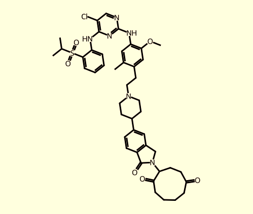 COc1cc(CCN2CCC(c3ccc4c(c3)CN(C3CCC(=O)CCCCC3=O)C4=O)CC2)c(C)cc1Nc1ncc(Cl)c(Nc2ccccc2S(=O)(=O)C(C)C)n1